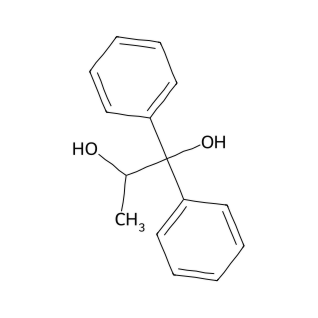 CC(O)C(O)(c1ccccc1)c1ccccc1